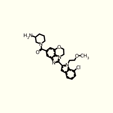 COCCn1c(-c2nc3cc(C(=O)N4CCCC(N)C4)cc4c3n2CCO4)cc2cccc(Cl)c21